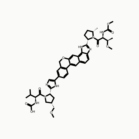 COC[C@H]1C[C@@H](c2ncc(-c3ccc4c(c3)COc3cc5c(ccc6nc([C@@H]7CC[C@H](C)N7C(=O)[C@@H](NC(=O)OC)[C@@H](C)OC)[nH]c65)cc3-4)[nH]2)N(C(=O)[C@@H](NC(=O)O)C(C)C)C1